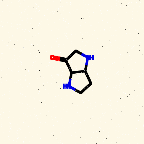 O=C1CNC2CCNC12